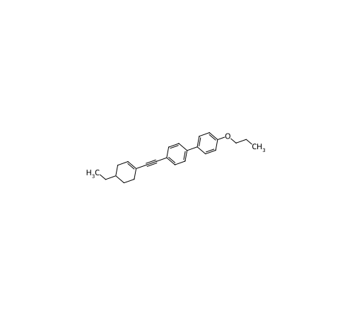 CCCOc1ccc(-c2ccc(C#CC3=CCC(CC)CC3)cc2)cc1